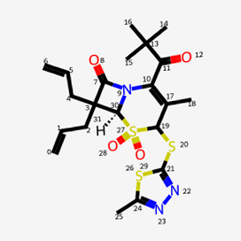 C=CCC1(CC=C)C(=O)N2C(C(=O)C(C)(C)C)=C(C)C(Sc3nnc(C)s3)S(=O)(=O)[C@H]21